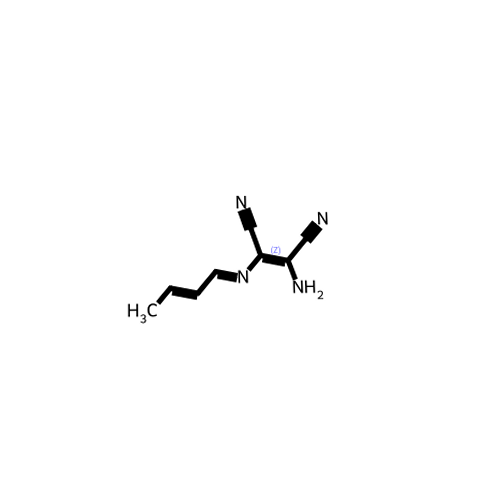 CC=CC=N/C(C#N)=C(\N)C#N